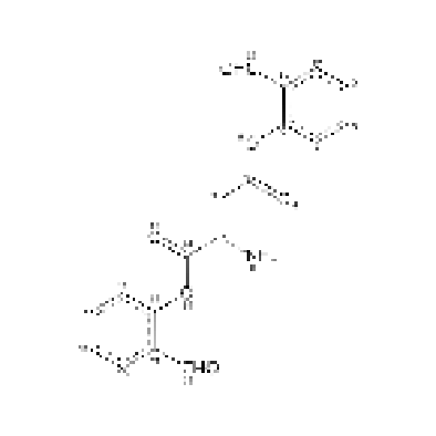 N[C@@H](CC(=O)Oc1ccccc1C=O)C(=O)Oc1ccccc1C=O